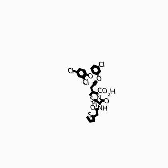 O=C(Cc1cccs1)NC1C(=O)N2C(C(=O)O)=C(CC#COc3cc(Cl)ccc3Oc3ccc(Cl)cc3Cl)CS[C@H]12